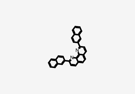 c1ccc2cc(-c3ccc4ccc5ccc(-c6ccc7ccccc7c6)nc5c4n3)ccc2c1